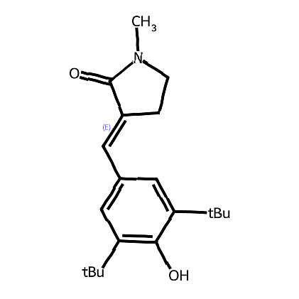 CN1CC/C(=C\c2cc(C(C)(C)C)c(O)c(C(C)(C)C)c2)C1=O